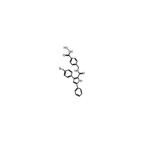 O=C(NO)c1ccc(CNC(=O)c2[nH]c(-c3ccccc3)cc2-c2ccc(Br)cc2)cc1